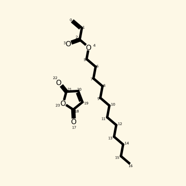 C=CC(=O)OCCCCCCCCCCCC.O=C1C=CC(=O)O1